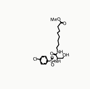 COC(=O)CCCCCCCNC(=O)C(CO)NS(=O)(=O)c1ccc(Cl)cc1